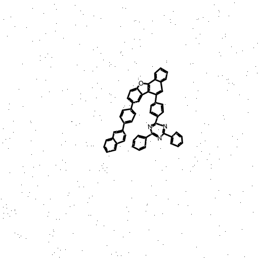 c1ccc(-c2nc(-c3ccccc3)nc(-c3ccc(-c4cc5ccccc5c5oc6ccc(-c7ccc(-c8ccc9ccccc9c8)cc7)cc6c45)cc3)n2)cc1